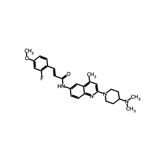 COc1ccc(C=CC(=O)Nc2ccc3nc(N4CCC(N(C)C)CC4)cc(C)c3c2)c(F)c1